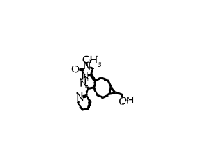 CN1CC2=C3CCC4C(CO)C4CCC3C(C3=NCCC=C3)=NN2C1=O